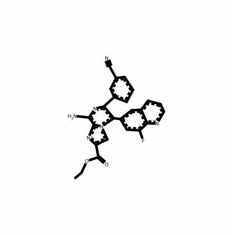 CCOC(=O)c1cn2c(-c3cc(F)c4ncccc4c3)c(-c3cccc(C#N)c3)nc(N)c2n1